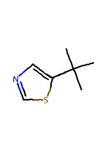 CC(C)(C)c1cncs1